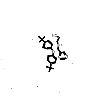 CC(C)(C)c1ccc(Oc2ccc(C(C)(C)C)cc2)cc1.OCCNCc1cnccn1